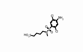 CN(CCCCS(=O)(=O)O)S(=O)(=O)c1cc(Cl)c(N)cc1Cl